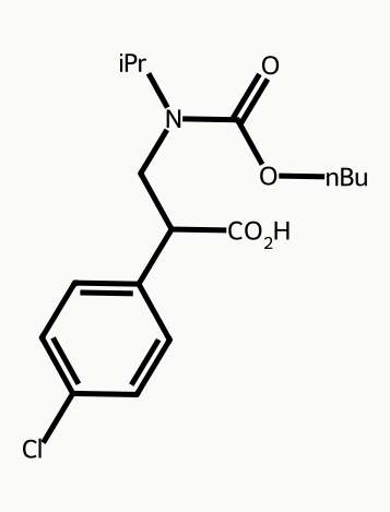 CCCCOC(=O)N(CC(C(=O)O)c1ccc(Cl)cc1)C(C)C